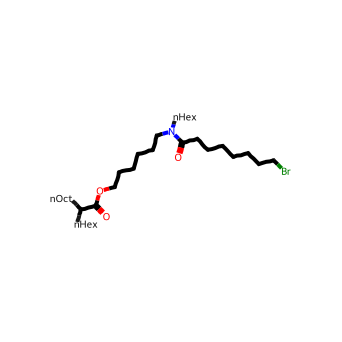 CCCCCCCCC(CCCCCC)C(=O)OCCCCCCN(CCCCCC)C(=O)CCCCCCCBr